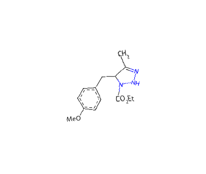 CCOC(=O)N1NN=C(C)C1Cc1ccc(OC)cc1